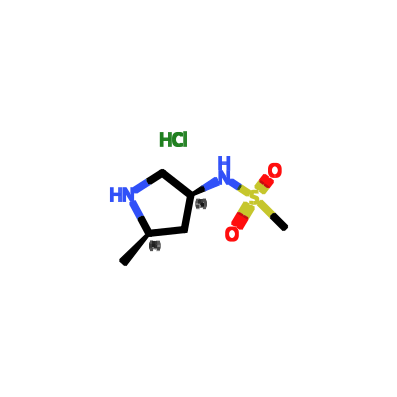 C[C@@H]1C[C@H](NS(C)(=O)=O)CN1.Cl